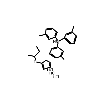 CC[CH](C)[Ti][C]1=CC=CC1.Cc1cccc([SiH](c2cccc(C)c2)c2cccc(C)c2)c1.Cl.Cl.Cl